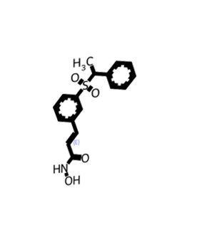 CC(c1ccccc1)S(=O)(=O)c1cccc(/C=C/C(=O)NO)c1